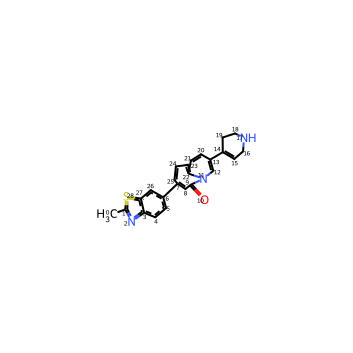 Cc1nc2ccc(C3=C\C(=O)N4C=C(C5=CCNCC5)C=C\C4=C/C=C/3)cc2s1